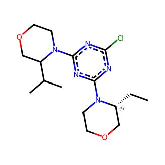 CC[C@@H]1COCCN1c1nc(Cl)nc(N2CCOCC2C(C)C)n1